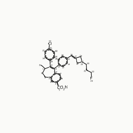 CC1CCc2cc(C(=O)O)ccc2C(c2ccc(C=C3CN(CCCF)C3)cc2)=C1c1ccc(Cl)cc1